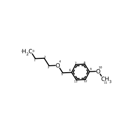 [CH2]CCCOCc1ccc(OC)cc1